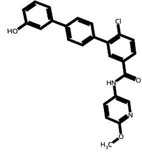 COc1ccc(NC(=O)c2ccc(Cl)c(-c3ccc(-c4cccc(O)c4)cc3)c2)cn1